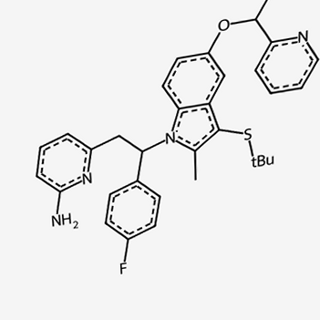 Cc1c(SC(C)(C)C)c2cc(OC(C)c3ccccn3)ccc2n1C(Cc1cccc(N)n1)c1ccc(F)cc1